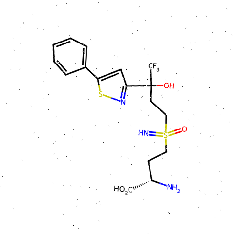 N=S(=O)(CC[C@H](N)C(=O)O)CCC(O)(c1cc(-c2ccccc2)sn1)C(F)(F)F